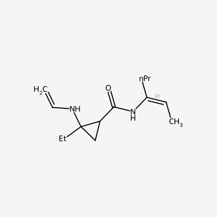 C=CNC1(CC)CC1C(=O)N/C(=C\C)CCC